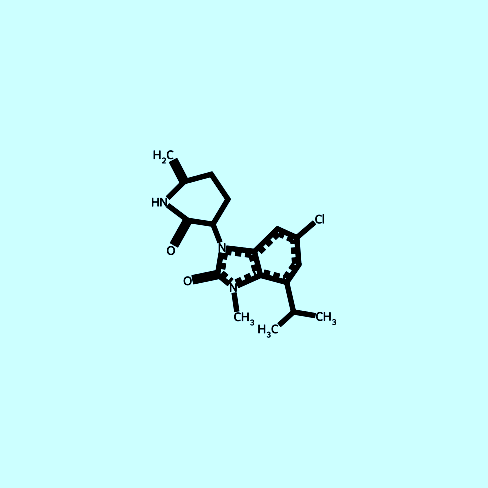 C=C1CCC(n2c(=O)n(C)c3c(C(C)C)cc(Cl)cc32)C(=O)N1